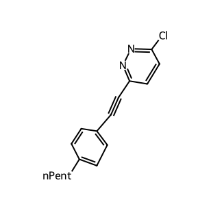 CCCCCc1ccc(C#Cc2ccc(Cl)nn2)cc1